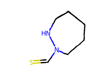 S=CN1CCCCCN1